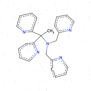 CC(c1ccccn1)(c1ccccn1)N(Cc1ccccn1)Cc1ccccn1